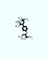 COC(Oc1ccc(C(CC(C)(C)C)C(C)C)cc1)C(C)C